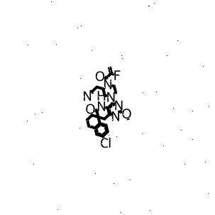 C=C(F)C(=O)N1CCN(c2nc(OC)nc3c2NC(=O)C2(CCCc4cc(Cl)ccc42)C3)CC1CC#N